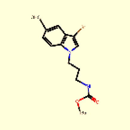 CC(C)(C)OC(=O)NCCCn1cc(Br)c2cc(C=O)ccc21